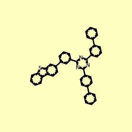 c1ccc(-c2ccc(-c3nc(-c4cccc(-c5ccccc5)c4)nc(-c4cccc(-c5ccc6c(c5)sc5ccccc56)c4)n3)cc2)cc1